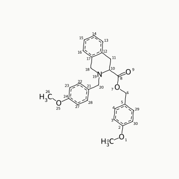 COc1ccc(COC(=O)C2Cc3ccccc3CN2Cc2ccc(OC)cc2)cc1